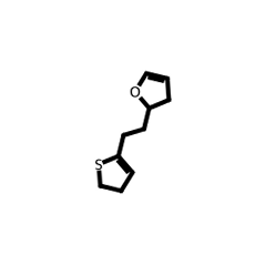 C1=COC(CCC2=CCCS2)C1